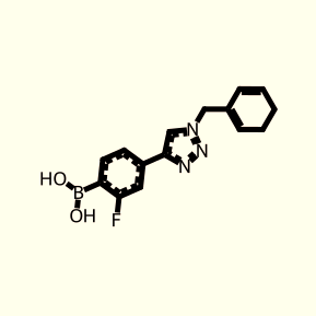 OB(O)c1ccc(-c2cn(CC3=CCCC=C3)nn2)cc1F